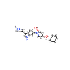 CN1CC(c2c[nH]c3cc(-n4ccc(OCc5ccccc5)cc4=O)ccc23)C1